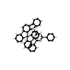 c1ccc(-c2nc(-c3ccccc3)nc(-n3c4ccccc4c4ccc5c(c43)C3(c4ccccc4-c4ccccc43)c3ccccc3-5)n2)cc1